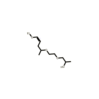 CCO/C=C\CC(C)OCCOCC(C)O